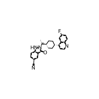 C[C@H]([C@H]1CC[C@@H](c2ccnc3ccc(F)cc32)CC1)n1[nH]c2ccc(C#N)cc2c1=O